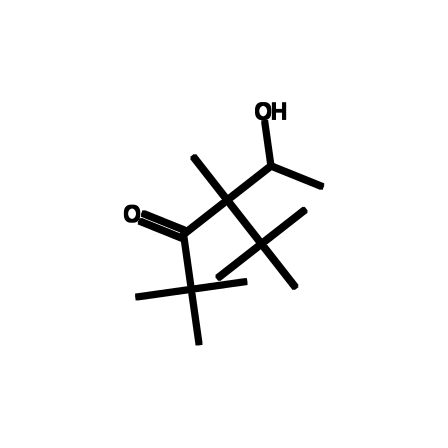 CC(O)C(C)(C(=O)C(C)(C)C)C(C)(C)C